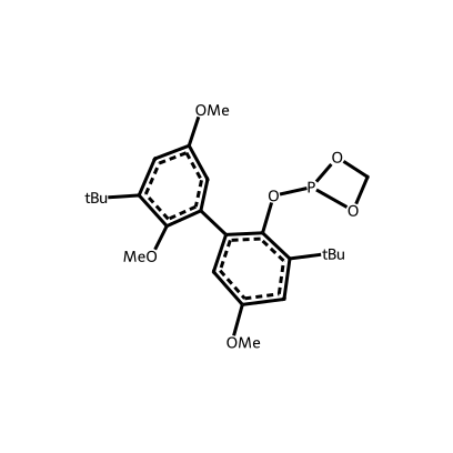 COc1cc(-c2cc(OC)cc(C(C)(C)C)c2OP2OCO2)c(OC)c(C(C)(C)C)c1